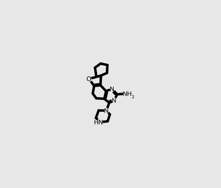 Nc1nc2c(c(N3CCNCC3)n1)CCC1=C2C2CCCCC2O1